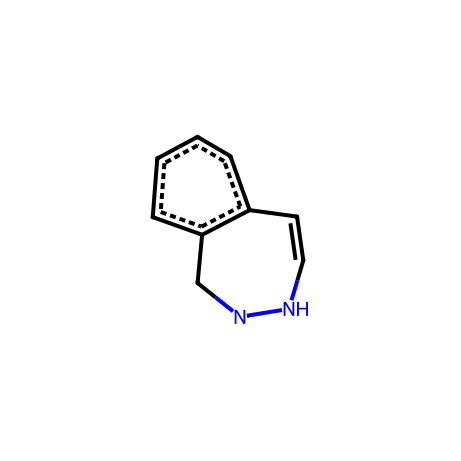 C1=Cc2ccccc2C[N]N1